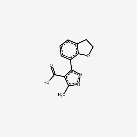 Cc1onc(-c2cccc3c2OCC3)c1C(=O)O